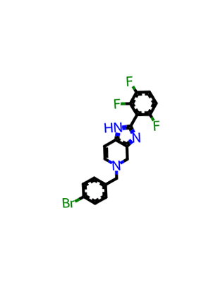 Fc1ccc(F)c(-c2nc3c([nH]2)C=CN(Cc2ccc(Br)cc2)C3)c1F